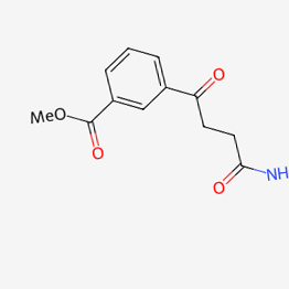 COC(=O)c1cccc(C(=O)CCC(N)=O)c1